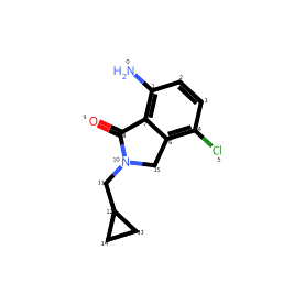 Nc1ccc(Cl)c2c1C(=O)N(CC1CC1)C2